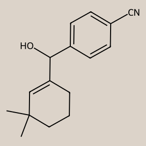 CC1(C)C=C(C(O)c2ccc(C#N)cc2)CCC1